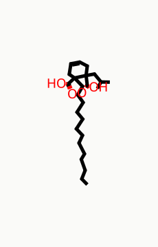 CCCCCCCCCCCCCC1(C(=O)O)CC=CCC1(CC(C)C)C(=O)O